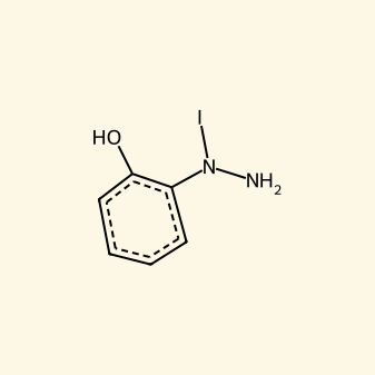 NN(I)c1ccccc1O